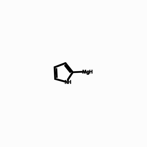 [MgH][c]1ccc[nH]1